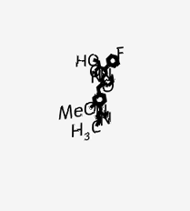 COc1cc(/C=C2\OCCN3C2=NOC(CO)C3c2ccc(F)cc2)ccc1-n1cnc(C)c1